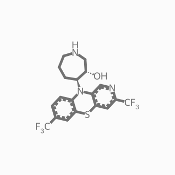 O[C@H]1CNCCC[C@@H]1N1c2ccc(C(F)(F)F)cc2Sc2cc(C(F)(F)F)ncc21